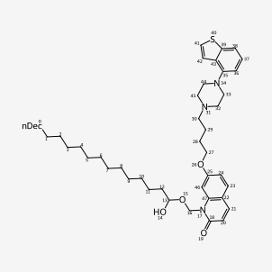 CCCCCCCCCCCCCCCCCCCCCCC(O)OCn1c(=O)ccc2ccc(OCCCCN3CCN(c4cccc5sccc45)CC3)cc21